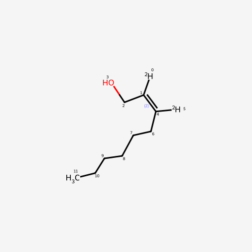 [2H]/C(CO)=C(\[2H])CCCCCC